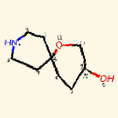 O[C@H]1CCC2(CCNCC2)OC1